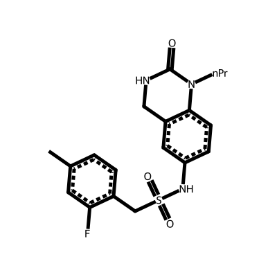 CCCN1C(=O)NCc2cc(NS(=O)(=O)Cc3ccc(C)cc3F)ccc21